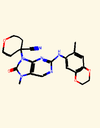 Cc1cc2c(cc1Nc1ncc3c(n1)n(C1(C#N)CCOCC1)c(=O)n3C)OCCO2